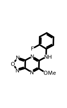 COc1nc2nonc2nc1Nc1ccccc1F